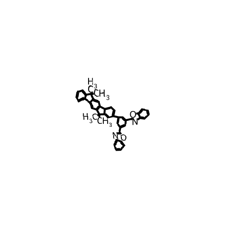 CC1(C)c2ccccc2-c2cc3c(cc21)-c1ccc(-c2cc(-c4nc5ccccc5o4)cc(-c4nc5ccccc5o4)c2)cc1C3(C)C